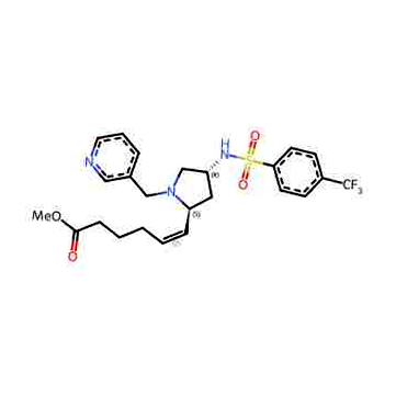 COC(=O)CCC/C=C\[C@@H]1C[C@@H](NS(=O)(=O)c2ccc(C(F)(F)F)cc2)CN1Cc1cccnc1